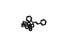 CCOP(=O)(OCC)OC(/C=C/c1ccccc1)c1ccccc1